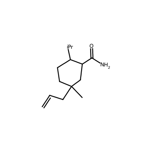 C=CCC1(C)CCC(C(C)C)C(C(N)=O)C1